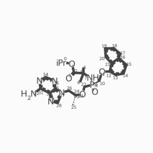 CC(C)OC(=O)C(C)(C)N[P@@](=O)(COc1cccc2ccccc12)CO[C@H](C)Cn1cnc2c(N)ncnc21